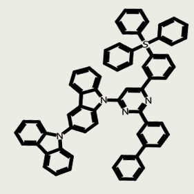 c1ccc(-c2cccc(-c3nc(-c4cccc(S(c5ccccc5)(c5ccccc5)c5ccccc5)c4)cc(-n4c5ccccc5c5cc(-n6c7ccccc7c7ccccc76)ccc54)n3)c2)cc1